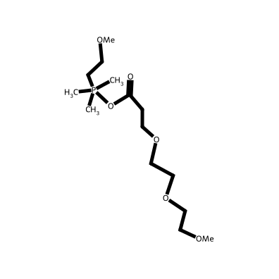 COCCOCCOCCC(=O)OP(C)(C)(C)CCOC